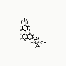 O=C(NC1(CO)CC1)c1ccc2c(-c3ccc(C(F)(F)F)cc3)cccc2c1